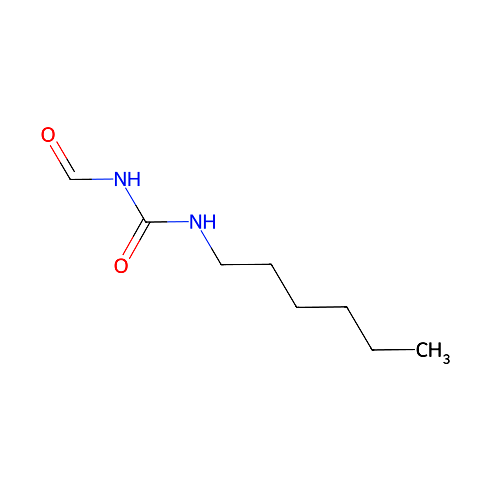 CCCCCCNC(=O)NC=O